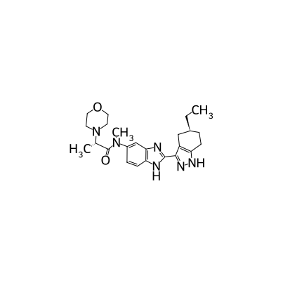 CC[C@H]1CCc2[nH]nc(-c3nc4cc(N(C)C(=O)[C@H](C)N5CCOCC5)ccc4[nH]3)c2C1